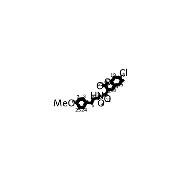 COc1ccc(C=CC(=O)NC(=O)c2cc3ccc(Cl)cc3oc2=O)cc1